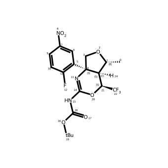 C[C@H]1OC[C@]2(c3cc([N+](=O)[O-])ccc3F)N=C(NC(=O)OC(C)(C)C)O[C@H](C(F)(F)F)[C@H]12